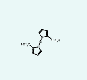 O=C(O)c1ccc[n]1[Zn][n]1cccc1C(=O)O